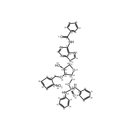 O=C(Nc1ncnc2c1ncn2[C@@H]1O[C@H](COP(=O)(Nc2ccccc2)Nc2ccccc2)[C@@H](OCc2ccccc2[N+](=O)[O-])[C@H]1O)c1ccccc1